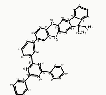 CC1(C)c2ccccc2-c2cc3c(cc21)Oc1cc(-c2cccc(-c4nc(-c5ccccc5)nc(-c5ccccc5)n4)c2)ccc1O3